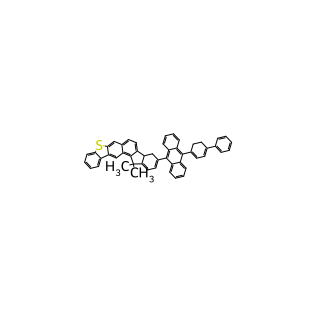 CC1(C)C2=CC=C(c3c4ccccc4c(C4=CC=C(c5ccccc5)CC4)c4ccccc34)CC2c2ccc3cc4sc5ccccc5c4cc3c21